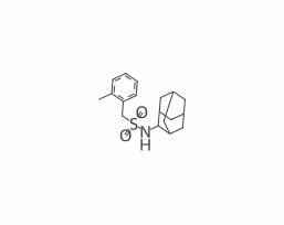 Cc1ccccc1CS(=O)(=O)NC1C2CC3CC(C2)CC1C3